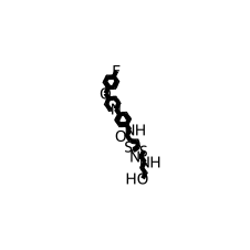 O=C(Nc1ccc(N2CCC(Oc3ccc(F)cc3)CC2)cc1)c1cc2sc(NCCO)nc2s1